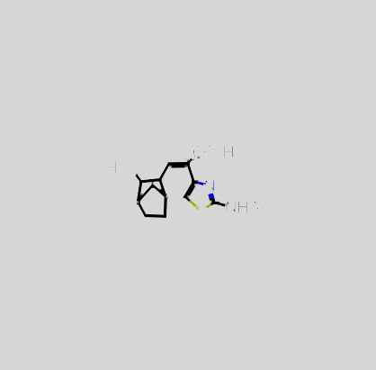 CC(=O)Nc1nc(C(=CC2C3CCC(C3)C2C)C(=O)O)cs1